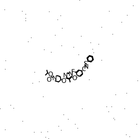 Cc1c(OC2CCN(C(=O)OC(C)C)CC2)ncnc1OC1C=CC(=C=NSc2ccccc2)C=C1F